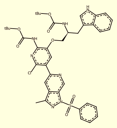 Cc1nn(S(=O)(=O)c2ccccc2)c2cnc(-c3cc(OC[C@H](Cc4c[nH]c5ccccc45)NC(=O)OC(C)(C)C)c(NC(=O)OC(C)(C)C)nc3Cl)cc12